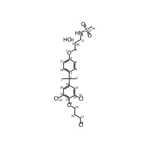 CC(C)(c1ccc(OC[C@H](O)CNS(C)(=O)=O)cc1)c1cc(Cl)c(OCCCCl)c(Cl)c1